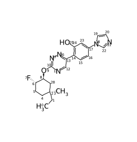 CC[C@@]1(C)CC[C@H](F)[C@@H](Oc2ncc(-c3ccc(-n4ccnc4)cc3O)nn2)C1